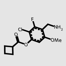 COc1cc(OC(=O)C2CCC2)c(Cl)c(F)c1CN